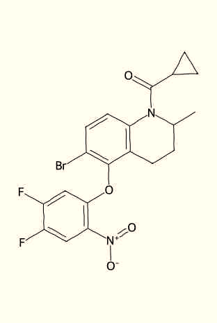 CC1CCc2c(ccc(Br)c2Oc2cc(F)c(F)cc2[N+](=O)[O-])N1C(=O)C1CC1